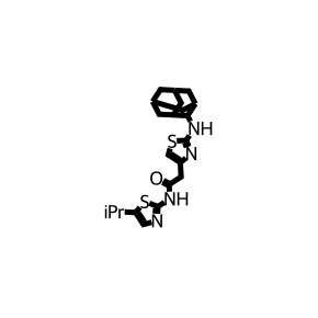 CC(C)c1cnc(NC(=O)Cc2csc(NC3C4CC5CC(C4)CC3C5)n2)s1